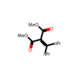 CCCC(CCC)=C(C(=O)OC)C(=O)OC